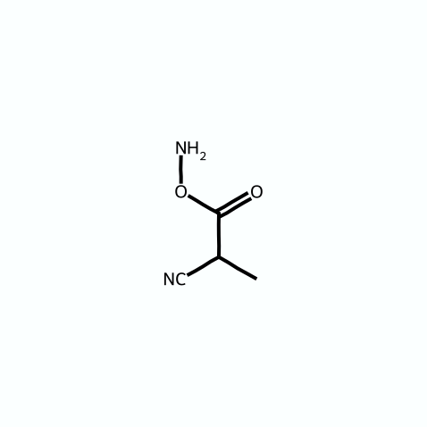 CC(C#N)C(=O)ON